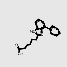 O=C(O)CCCCCc1nc2c(-c3ccccc3)cccc2[nH]1